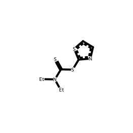 CCN(CC)C(=S)Sc1nccs1